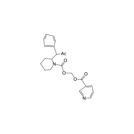 CC(=O)C(c1ccccc1)C1CCCCN1C(=O)OCOC(=O)c1cccnc1